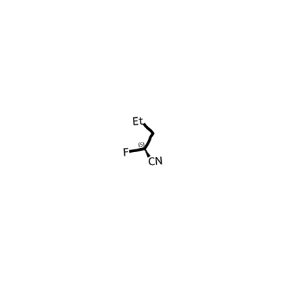 CCC[C@H](F)C#N